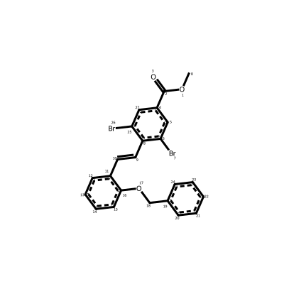 COC(=O)c1cc(Br)c(/C=C/c2ccccc2OCc2ccccc2)c(Br)c1